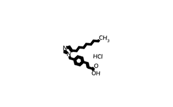 CCCCCCCCc1cncn1Cc1ccc(/C=C/C(=O)O)cc1.Cl